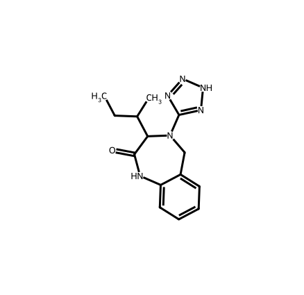 CCC(C)C1C(=O)Nc2ccccc2CN1c1nn[nH]n1